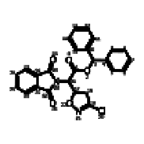 O=C(OC(c1ccccc1)c1ccccc1)C(C1CC(Cl)=NO1)N1C(=O)c2ccccc2C1=O